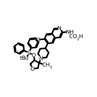 CC1(N2CCC(c3cc4cc(NC(=O)O)ncc4cc3Cl)CC2)COCC1O[Si](c1ccccc1)(c1ccccc1)C(C)(C)C